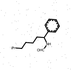 CC(C)CCC[CH]C(NC=O)c1ccccc1